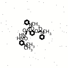 CN(C)c1cccc(NC(=O)NCC(=O)N(CC(=O)N(C)c2ccccc2)c2cccc(OCC(=O)N(C)c3ccccc3)c2)c1